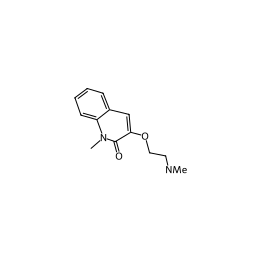 CNCCOc1cc2ccccc2n(C)c1=O